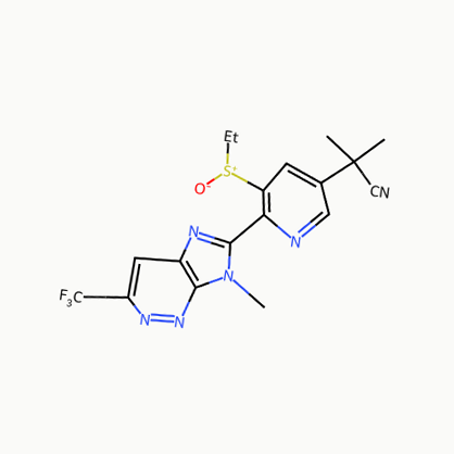 CC[S+]([O-])c1cc(C(C)(C)C#N)cnc1-c1nc2cc(C(F)(F)F)nnc2n1C